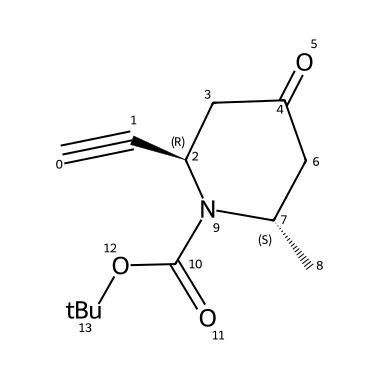 C#C[C@H]1CC(=O)C[C@H](C)N1C(=O)OC(C)(C)C